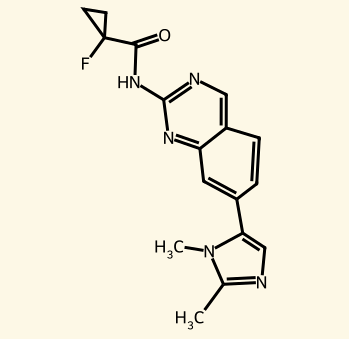 Cc1ncc(-c2ccc3cnc(NC(=O)C4(F)CC4)nc3c2)n1C